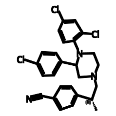 C[C@@H](CN1CCN(c2ccc(Cl)cc2Cl)C(c2ccc(Cl)cc2)C1)c1ccc(C#N)cc1